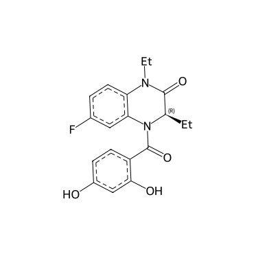 CC[C@@H]1C(=O)N(CC)c2ccc(F)cc2N1C(=O)c1ccc(O)cc1O